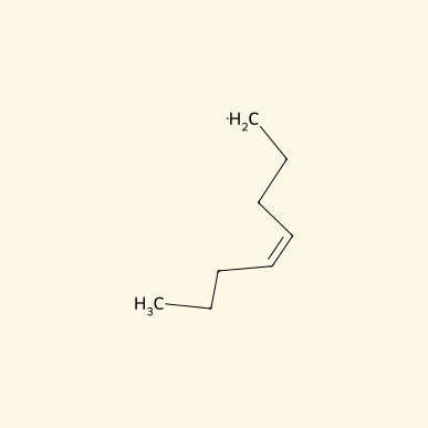 [CH2]CC/C=C\CCC